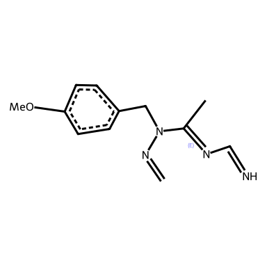 C=NN(Cc1ccc(OC)cc1)/C(C)=N/C=N